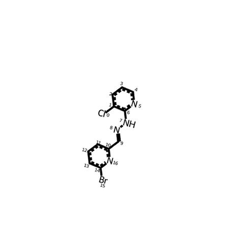 Clc1cccnc1NN=Cc1cccc(Br)n1